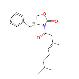 CC(=CCCC(C)C)CC(=O)N1C(=O)OC[C@H]1Cc1ccccc1